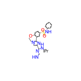 CC(C)N/C(=N\C=N)c1cn2c(n1)-c1cc(S(=O)(=O)Nc3ccccc3)ccc1OCC2